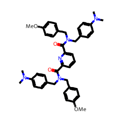 COc1ccc(CN(Cc2ccc(N(C)C)cc2)C(=O)c2cccc(C(=O)N(Cc3ccc(OC)cc3)Cc3ccc(N(C)C)cc3)n2)cc1